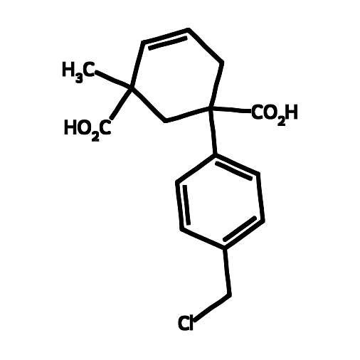 CC1(C(=O)O)C=CCC(C(=O)O)(c2ccc(CCl)cc2)C1